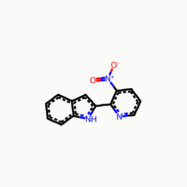 O=[N+]([O-])c1cccnc1-c1cc2ccccc2[nH]1